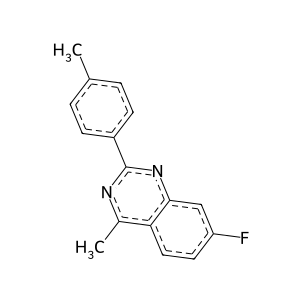 Cc1ccc(-c2nc(C)c3ccc(F)cc3n2)cc1